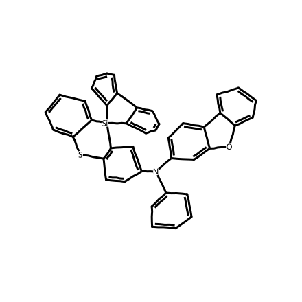 c1ccc(N(c2ccc3c(c2)[Si]2(c4ccccc4S3)c3ccccc3-c3ccccc32)c2ccc3c(c2)oc2ccccc23)cc1